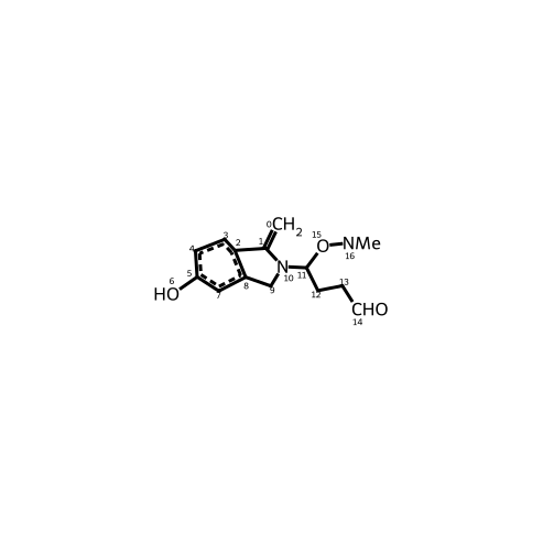 C=C1c2ccc(O)cc2CN1C(CCC=O)ONC